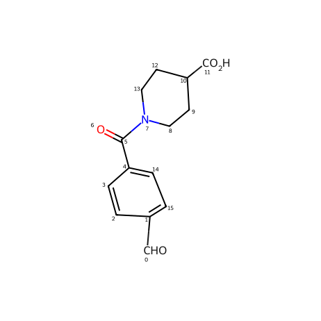 O=Cc1ccc(C(=O)N2CCC(C(=O)O)CC2)cc1